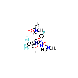 CC(CO)N(C)C.CN(C)CCOc1ncc(N(C)C(=O)C(C)(C)c2cc(C(F)(F)F)cc(C(F)(F)F)c2)c(Oc2ccc(F)cc2)n1